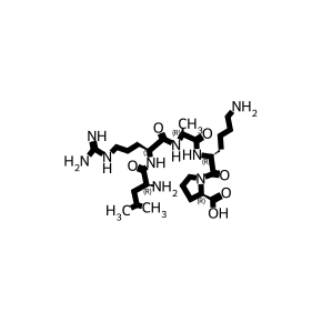 CC(C)C[C@@H](N)C(=O)N[C@@H](CCCNC(=N)N)C(=O)N[C@H](C)C(=O)N[C@H](CCCCN)C(=O)N1CCC[C@@H]1C(=O)O